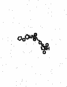 O=c1ccn(COCCCS(=O)(=O)NCc2cccc(OC3CCCC3)c2)c(=O)[nH]1